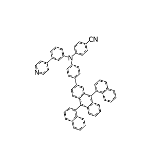 N#Cc1ccc(N(c2ccc(-c3ccc4c(-c5cccc6ccccc56)c5ccccc5c(-c5cccc6ccccc56)c4c3)cc2)c2cccc(-c3ccncc3)c2)cc1